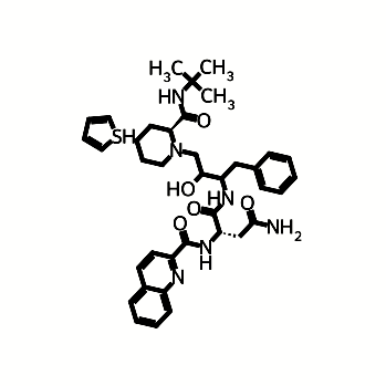 CC(C)(C)NC(=O)[C@@H]1CC([SH]2C=CC=C2)CCN1CC(O)C(Cc1ccccc1)NC(=O)[C@H](CC(N)=O)NC(=O)c1ccc2ccccc2n1